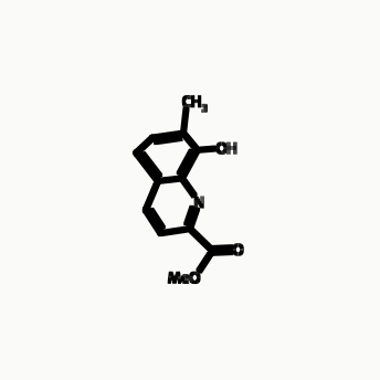 COC(=O)c1ccc2ccc(C)c(O)c2n1